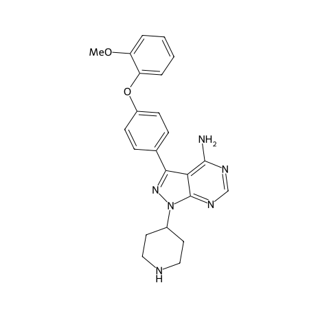 COc1ccccc1Oc1ccc(-c2nn(C3CCNCC3)c3ncnc(N)c23)cc1